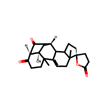 CC12CC=C3C(C1CC[C@@]21CCC(=O)O1)[C@H]1C[C@]2(C#N)[C@@H](C(=O)CCC32C)C1=O